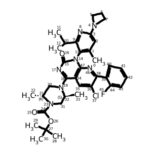 Cc1cc(N2CCC2)nc(C(C)C)c1-n1c(=O)nc(N2C[C@@H](C)N(C(=O)OC(C)(C)C)C[C@@H]2C)c2cc(Cl)c(-c3ccccc3F)nc21